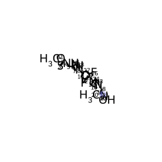 COC(=S)NCc1cn(-c2cc(F)c(N3CCN(C/C(C)=N/O)CC3)c(F)c2)nn1